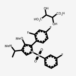 CNC(C)c1cn(S(=O)(=O)c2cccc(F)c2)c(-c2ccc(F)cc2F)c1OC.O=C(O)C(O)C(O)C(=O)O